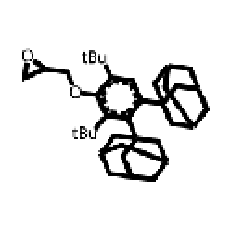 CC(C)(C)c1cc(C23CC4CC(CC(C4)C2)C3)c(C23CC4CC(CC(C4)C2)C3)c(C(C)(C)C)c1OCC1CO1